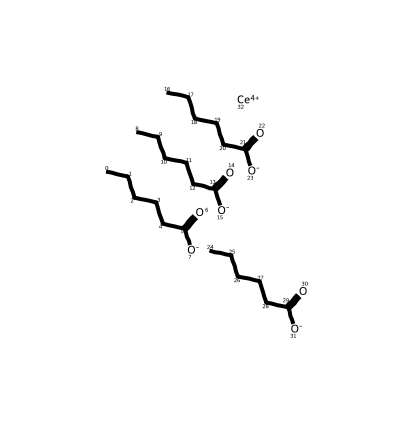 CCCCCC(=O)[O-].CCCCCC(=O)[O-].CCCCCC(=O)[O-].CCCCCC(=O)[O-].[Ce+4]